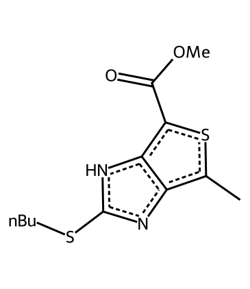 CCCCSc1nc2c(C)sc(C(=O)OC)c2[nH]1